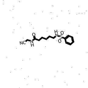 N#CCNC(=O)CCCCCNS(=O)(=O)c1ccccc1